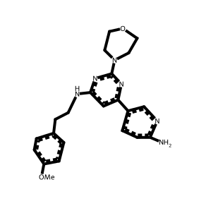 COc1ccc(CCNc2cc(-c3ccc(N)nc3)nc(N3CCOCC3)n2)cc1